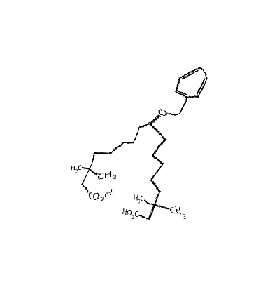 CC(C)(CCCCCC(CCCCCC(C)(C)CC(=O)O)OCc1ccccc1)CC(=O)O